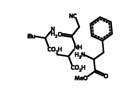 CC(NC(=O)CC#N)C(=O)O.CCC(C)C(N)C(=O)O.COC(=O)C(N)Cc1ccccc1